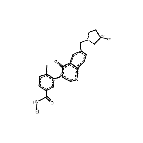 CCNC(=O)c1ccc(C)c(-n2cnc3ccc(CN4CC[C@@H](F)C4)cc3c2=O)c1